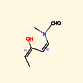 C/C=C(O)\C=C/N(C)C=O